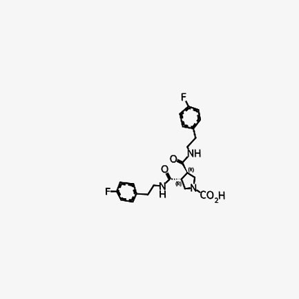 O=C(NCCc1ccc(F)cc1)[C@H]1CN(C(=O)O)C[C@@H]1C(=O)NCCc1ccc(F)cc1